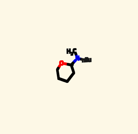 CCCCN(C)[C]1CCCCO1